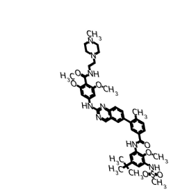 COc1cc(Nc2ncc3cc(-c4cc(C(=O)Nc5cc(C(C)(C)C)cc(NS(C)(=O)=O)c5OC)ccc4C)ccc3n2)cc(OC)c1C(=O)NCCN1CCN(C)CC1